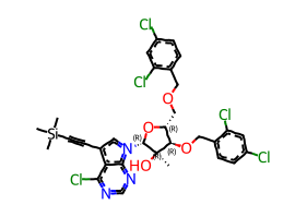 C[C@@]1(O)[C@H](OCc2ccc(Cl)cc2Cl)[C@@H](COCc2ccc(Cl)cc2Cl)O[C@H]1n1cc(C#C[Si](C)(C)C)c2c(Cl)ncnc21